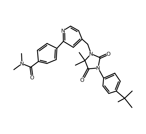 CN(C)C(=O)c1ccc(-c2cc(CN3C(=O)N(c4ccc(C(C)(C)C)cc4)C(=O)C3(C)C)ccn2)cc1